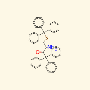 N[C@@H](CSC(c1ccccc1)(c1ccccc1)c1ccccc1)C(=O)C(c1ccccc1)(c1ccccc1)c1ccccc1